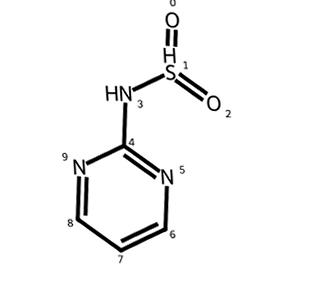 O=[SH](=O)Nc1ncccn1